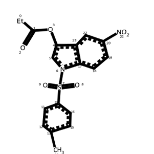 CCC(=O)Oc1cn(S(=O)(=O)c2ccc(C)cc2)c2ccc([N+](=O)[O-])cc12